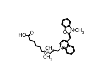 CN1/C(=C/c2cc[n+](CCC[N+](C)(C)CCCCCC(=O)O)c3ccccc23)Oc2ccccc21